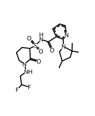 CC1CN(c2ncccc2C(=O)NS(=O)(=O)C2CCCN(NCC(F)F)C2=O)C(C)(C)C1